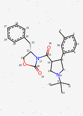 Cc1cccc(C2CN(C(C)(C)C)CC2C(=O)N2C(=O)OC[C@@H]2Cc2ccccc2)c1